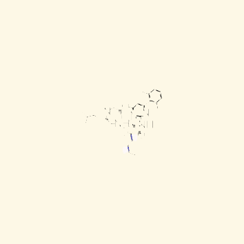 C/C=C\C=C(/OC)S(=O)(=O)Nc1nc(O[C@@H]2CNC[C@H](CCC(C)C)NC2)cc(-c2c(C)cccc2C)n1